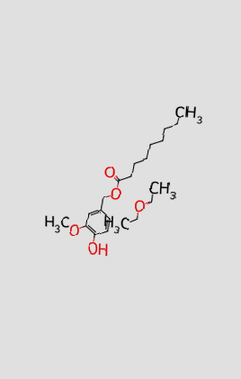 CCCCCCCCC(=O)OCc1ccc(O)c(OC)c1.CCOCC